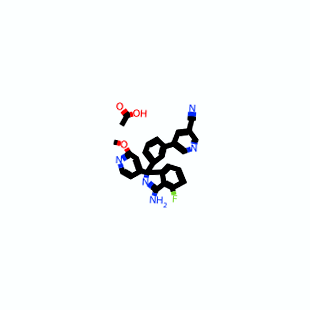 CC(=O)O.COc1cc(C2(c3cccc(-c4cncc(C#N)c4)c3)N=C(N)c3c(F)cccc32)ccn1